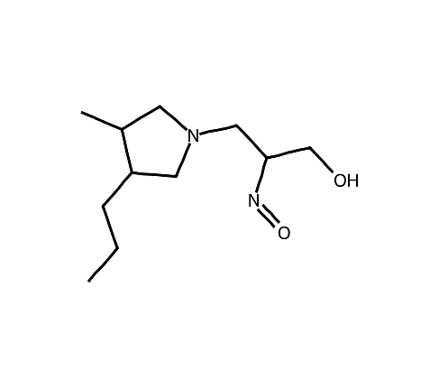 CCCC1CN(CC(CO)N=O)CC1C